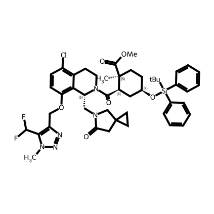 COC(=O)[C@@]1(C)CC[C@@H](O[Si](c2ccccc2)(c2ccccc2)C(C)(C)C)C[C@H]1C(=O)N1CCc2c(Cl)ccc(OCc3nnn(C)c3C(F)F)c2[C@H]1CN1CC2(CC2)CC1=O